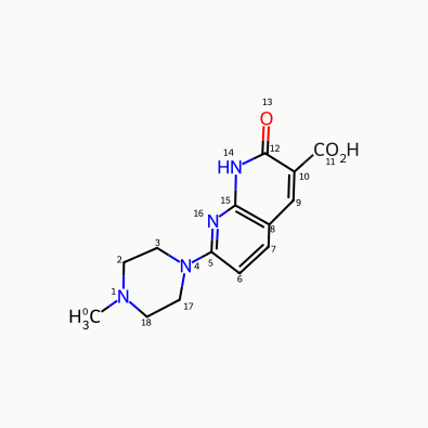 CN1CCN(c2ccc3cc(C(=O)O)c(=O)[nH]c3n2)CC1